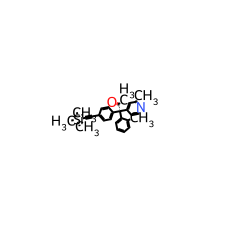 CC(=O)[C@](c1ccc(C#C[Si](C)(C)C)cc1)(c1ccnc(C)c1)c1ccccc1C